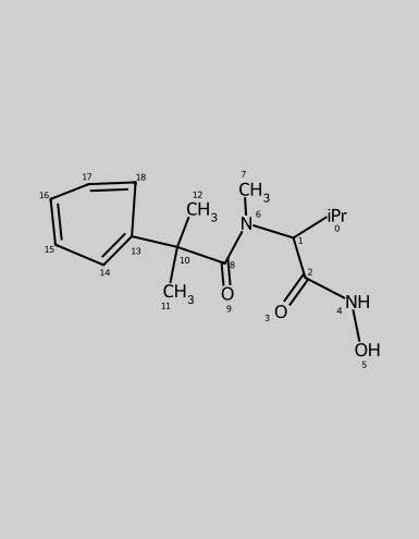 CC(C)C(C(=O)NO)N(C)C(=O)C(C)(C)c1ccccc1